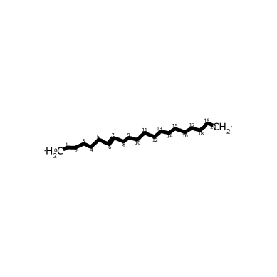 [CH2]CCCCCC=CCCCCCCCCCCCC[CH2]